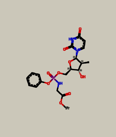 CC(C)OC(=O)CNP(=O)(OC[C@H]1O[C@@H](n2ccc(=O)[nH]c2=O)[C@@H](C)[C@@H]1O)Oc1ccccc1